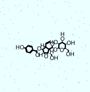 O=C(O[C@H]1[C@@H]2C=CO[C@@H](O[C@@H]3O[C@H](CO)[C@@H](O)[C@H](O)[C@H]3O)[C@@H]2[C@@]2(CO)O[C@@H]12)c1ccc(O)cc1